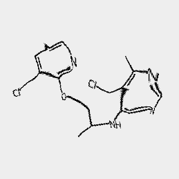 Cc1ncnc(NC(C)COc2ncccc2Cl)c1Cl